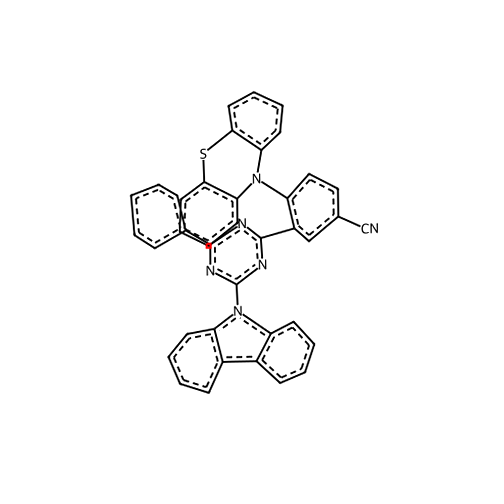 N#Cc1ccc(N2c3ccccc3Sc3ccccc32)c(-c2nc(-c3ccccc3)nc(-n3c4ccccc4c4ccccc43)n2)c1